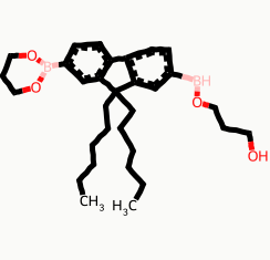 CCCCCCC1(CCCCCC)c2cc(BOCCCO)ccc2-c2ccc(B3OCCCO3)cc21